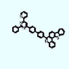 c1ccc(-c2nc(-c3ccc(-c4ccc(-c5nc6ccccc6c6c5ccc5c7ccccc7sc56)cc4)cc3)cc(-c3ccccn3)n2)cc1